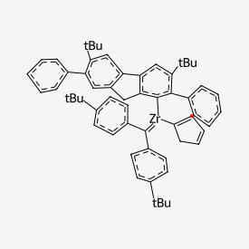 CC(C)(C)c1ccc([C](c2ccc(C(C)(C)C)cc2)=[Zr]([C]2=CC=CC2)[c]2c3c(cc(C(C)(C)C)c2-c2ccccc2)-c2cc(C(C)(C)C)c(-c4ccccc4)cc2C3)cc1